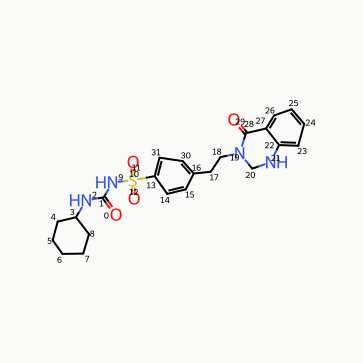 O=C(NC1CCCCC1)NS(=O)(=O)c1ccc(CCN2CNc3ccccc3C2=O)cc1